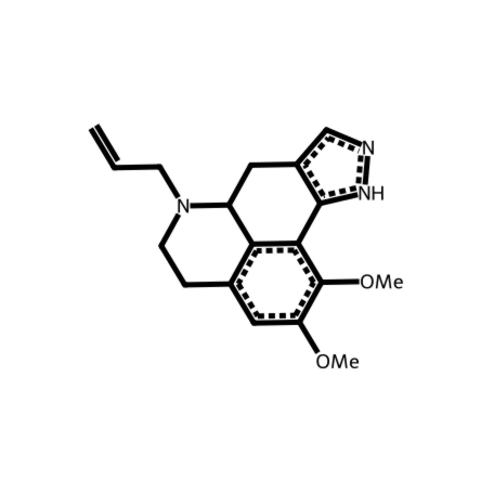 C=CCN1CCc2cc(OC)c(OC)c3c2C1Cc1cn[nH]c1-3